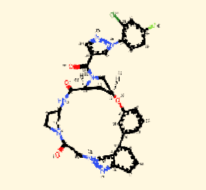 O=C1NC2CCN(C2)C(=O)Cn2cc3c(cccc3n2)-c2cccc(c2)O[C@H]2C[C@@H]1N(C(=O)c1cnn(-c3ccc(F)cc3Cl)c1)C2